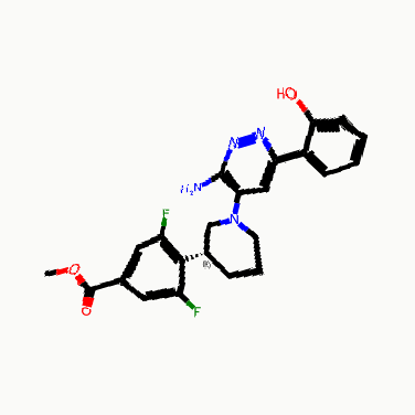 COC(=O)c1cc(F)c([C@H]2CCCN(c3cc(-c4ccccc4O)nnc3N)C2)c(F)c1